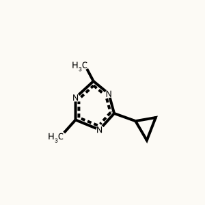 Cc1nc(C)nc(C2CC2)n1